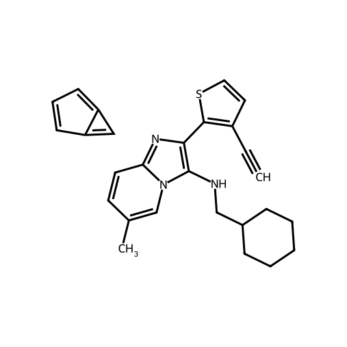 C#Cc1ccsc1-c1nc2ccc(C)cn2c1NCC1CCCCC1.c1cc2cc-2c1